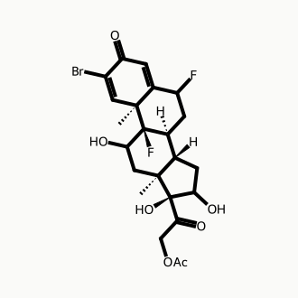 CC(=O)OCC(=O)[C@@]1(O)C(O)C[C@H]2[C@@H]3CC(F)C4=CC(=O)C(Br)=C[C@]4(C)[C@@]3(F)C(O)C[C@@]21C